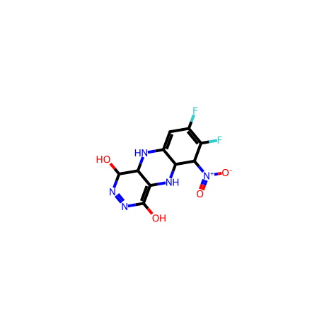 O=[N+]([O-])C1C(F)=C(F)C=C2NC3C(=C(O)N=NC3O)NC21